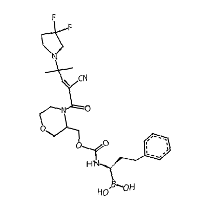 CC(C)(C=C(C#N)C(=O)N1CCOCC1COC(=O)N[C@@H](CCc1ccccc1)B(O)O)N1CCC(F)(F)C1